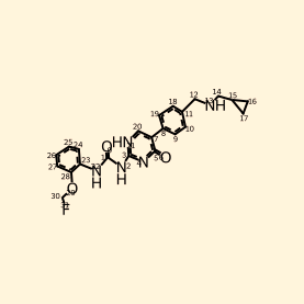 O=C(Nc1nc(=O)c(-c2ccc(CNCC3CC3)cc2)c[nH]1)Nc1ccccc1OCF